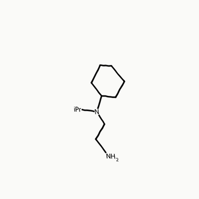 CC(C)N(CCN)C1CCCCC1